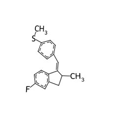 CSc1ccc(/C=C2\c3ccc(F)cc3CC2C)cc1